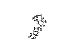 O=C(Nc1cnc2c(c1)OCCO2)c1cc(F)c2c(c1)-c1cncn1CCO2